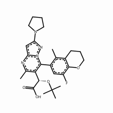 Cc1nc2cc(N3CCCC3)nn2c(-c2cc(F)c3c(c2C)CCCO3)c1[C@H](OC(C)(C)C)C(=O)O